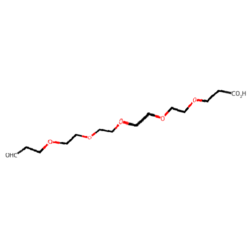 O=CCCOCCOCCOCCOCCOCCC(=O)O